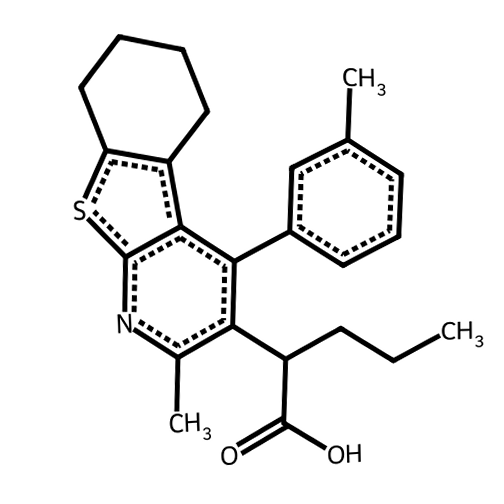 CCCC(C(=O)O)c1c(C)nc2sc3c(c2c1-c1cccc(C)c1)CCCC3